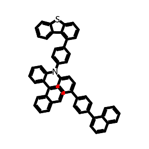 c1ccc(N(c2ccc(-c3ccc(-c4cccc5ccccc45)cc3)cc2)c2ccc(-c3cccc4sc5ccccc5c34)cc2)c(-c2cccc3ccccc23)c1